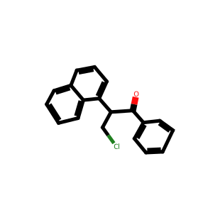 O=C(c1ccccc1)C(CCl)c1cccc2ccccc12